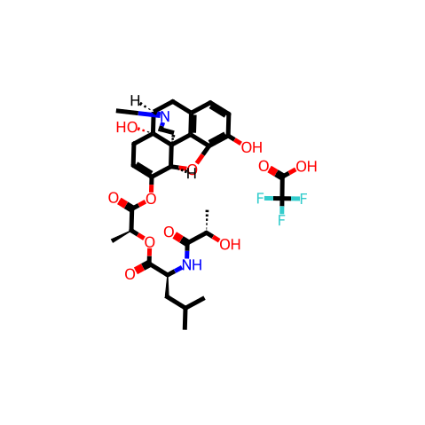 CC(C)C[C@H](NC(=O)[C@H](C)O)C(=O)O[C@@H](C)C(=O)OC1=CC[C@@]2(O)[C@H]3Cc4ccc(O)c5c4[C@@]2(CCN3C)[C@H]1O5.O=C(O)C(F)(F)F